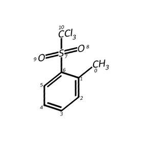 Cc1ccccc1S(=O)(=O)C(Cl)(Cl)Cl